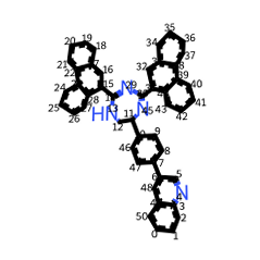 c1ccc2ncc(-c3ccc(C4CNC(c5cc6ccccc6c6ccccc56)=NC(c5cc6ccccc6c6ccccc56)=N4)cc3)cc2c1